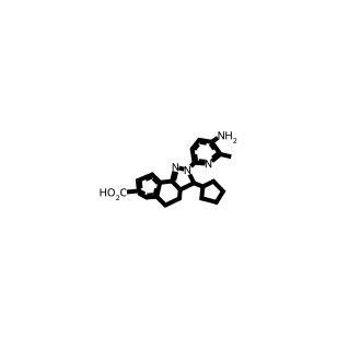 Cc1nc(N2N=C3c4ccc(C(=O)O)cc4CCC3C2C2CCCC2)ccc1N